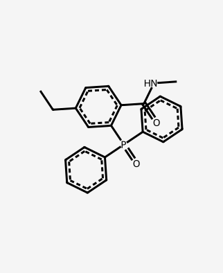 CCc1ccc(C(=O)NC)c(P(=O)(c2ccccc2)c2ccccc2)c1